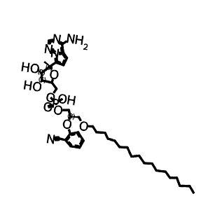 CCCCCCCCCCCCCCCCCCOC[C@H](COP(=O)(O)OCC1O[C@@](C)(c2ccc3c(N)ncnn23)[C@H](O)[C@@H]1O)Oc1ccccc1C#N